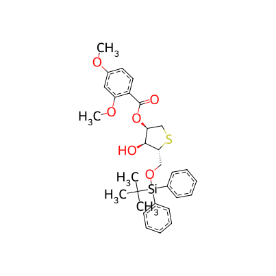 COc1ccc(C(=O)O[C@H]2CS[C@H](CO[Si](c3ccccc3)(c3ccccc3)C(C)(C)C)[C@H]2O)c(OC)c1